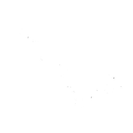 CN(C(=O)CCN1CCC(OC(=O)Nc2ccccc2-c2ccccc2)CC1)c1ccc(CC(=O)NCc2cccc(CNC[C@H](O)c3ccc(O)c4[nH]c(=O)ccc34)c2)cc1